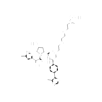 Cc1cc(C(C(=O)N2C[C@H](O)C[C@H]2C(=O)N[C@@H](COCCOCCOCCN(C)C(=O)O)c2ccc(-c3scnc3C)cc2)C(C)C)on1